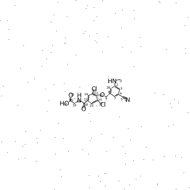 CNc1cc(C#N)cc(COc2c(Cl)cc(C(=O)NCC(=O)O)cc2Cl)c1